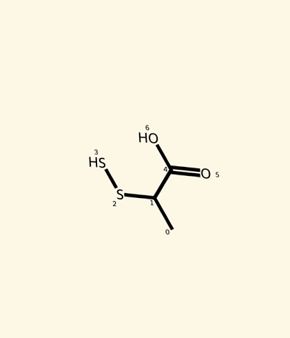 CC(SS)C(=O)O